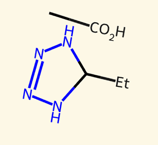 CC(=O)O.CCC1NN=NN1